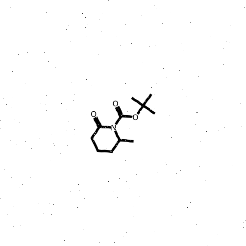 CC1CCCC(=O)N1C(=O)OC(C)(C)C